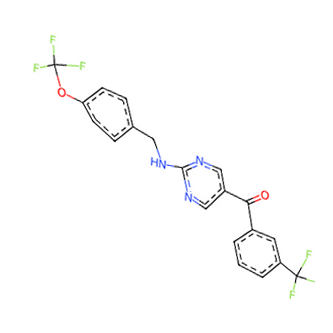 O=C(c1cnc(NCc2ccc(OC(F)(F)F)cc2)nc1)c1cccc(C(F)(F)F)c1